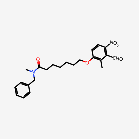 Cc1c(OCCCCCCC(=O)N(C)Cc2ccccc2)ccc([N+](=O)[O-])c1C=O